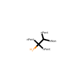 CCCCCCCCCC(CCCCC)C(P)(CCCCC)CCCCC